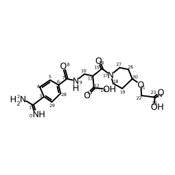 N=C(N)c1ccc(C(=O)NCC(C(=O)O)C(=O)N2CCC(OCC(=O)O)CC2)cc1